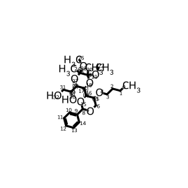 CCCCO[C@@H]1COC(c2ccccc2)O[C@H]1[C@@H]1OC(C)(OC)C(C)(OC)O[C@H]1[C@@H](O)CO